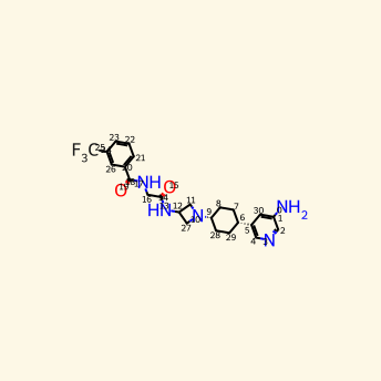 Nc1cncc([C@H]2CC[C@@H](N3CC(NC(=O)CNC(=O)c4cccc(C(F)(F)F)c4)C3)CC2)c1